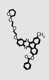 Cc1ccc2c3ccc(OC(=O)c4ccccc4)cc3c3nc4ccc(OCCOCCOC5CCCCO5)cc4nc3c2c1